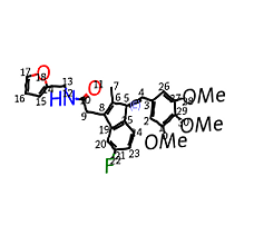 COc1cc(/C=C2/C(C)=C(CC(=O)NCc3ccco3)c3cc(F)ccc32)cc(OC)c1OC